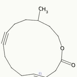 CC1CCC#CCCC/C=C/CC(=O)OCC1